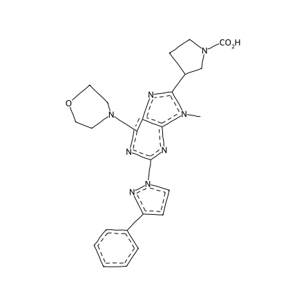 Cn1c(C2CCN(C(=O)O)C2)nc2c(N3CCOCC3)nc(-n3ccc(-c4ccccc4)n3)nc21